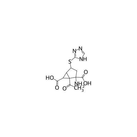 CC(=O)C12C(C(=O)O)C1C(Sc1nnc[nH]1)CC2(N)C(=O)O